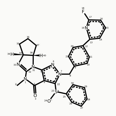 CN1C(=O)c2c(nn(Cc3ccc(-c4cccc(F)n4)cc3)c2[S+]([O-])c2ccccc2)N2C1=N[C@@H]1CCC[C@@H]12